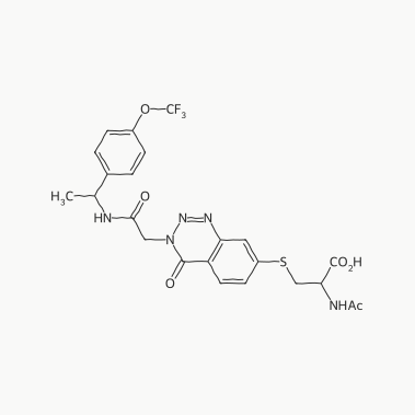 CC(=O)NC(CSc1ccc2c(=O)n(CC(=O)NC(C)c3ccc(OC(F)(F)F)cc3)nnc2c1)C(=O)O